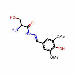 COc1cc(/C=N/NC(=O)C(N)CO)cc(OC)c1O